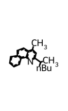 CCCCC(C)c1cc(C)c2ccc3ccccc3c2n1